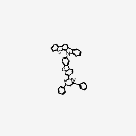 c1ccc(C2=NC(c3ccc4c(c3)oc3ccc(-n5c6ccccc6c6ccc7c8ccccc8sc7c65)cc34)=NC(c3ccccc3)C2)cc1